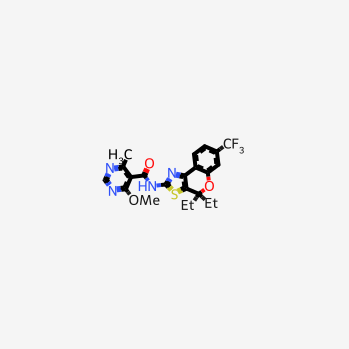 CCC1(CC)Oc2cc(C(F)(F)F)ccc2-c2nc(NC(=O)c3c(C)ncnc3OC)sc21